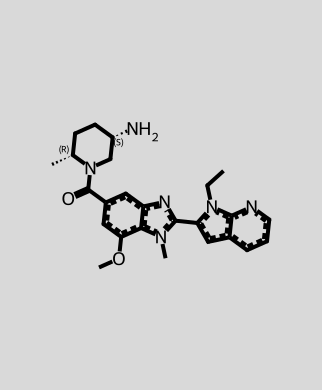 CCn1c(-c2nc3cc(C(=O)N4C[C@@H](N)CC[C@H]4C)cc(OC)c3n2C)cc2cccnc21